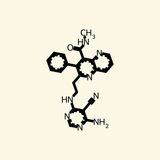 CNC(=O)c1c(-c2ccccc2)c(CCNc2ncnc(N)c2C#N)nc2cccnc12